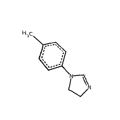 Cc1ccc(N2[C]=NCC2)cc1